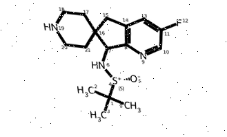 CC(C)(C)[S@@+]([O-])NC1c2ncc(F)cc2CC12CCNCC2